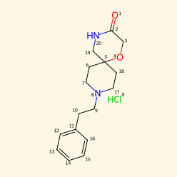 Cl.O=C1COC2(CCN(CCc3ccccc3)CC2)CN1